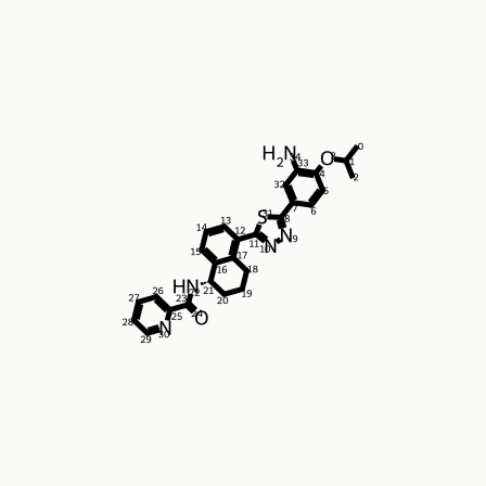 CC(C)Oc1ccc(-c2nnc(-c3cccc4c3CCC[C@@H]4NC(=O)c3ccccn3)s2)cc1N